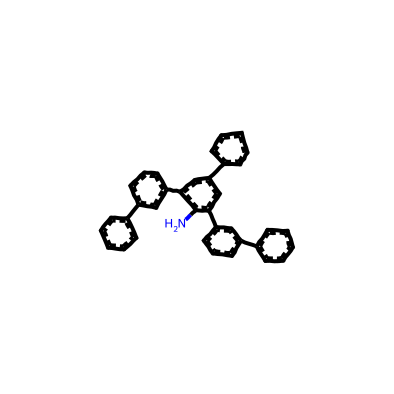 Nc1c(-c2cccc(-c3ccccc3)c2)cc(-c2ccccc2)cc1-c1cccc(-c2ccccc2)c1